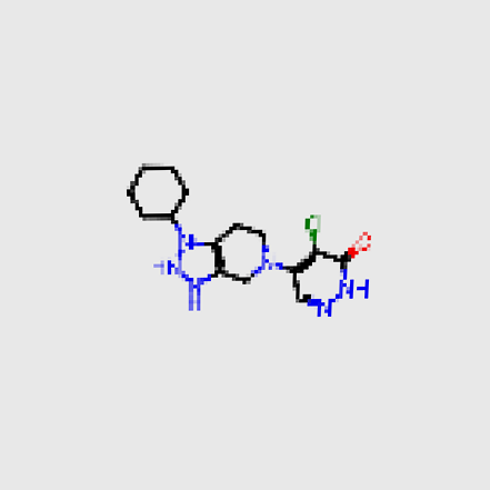 O=c1[nH]ncc(N2CCC3=C(C2)NNN3C2CCCCC2)c1Cl